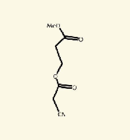 COC(=O)CCOC(=O)CC#N